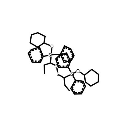 CCC(SSC(CC)[Si](OC1CCCCC1)(c1ccccc1)c1ccccc1)[Si](OC1CCCCC1)(c1ccccc1)c1ccccc1